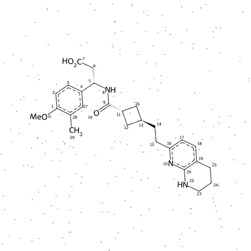 COc1ccc([C@H](CC(=O)O)NC(=O)[C@H]2C[C@H](CCc3ccc4c(n3)NCCC4)C2)cc1C